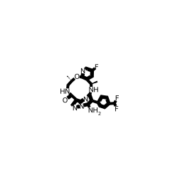 C[C@H]1CNC(=O)c2cnn3c(N)c(-c4ccc(C(F)F)cc4)c(nc23)N[C@H](C)c2cc(F)cnc2O1